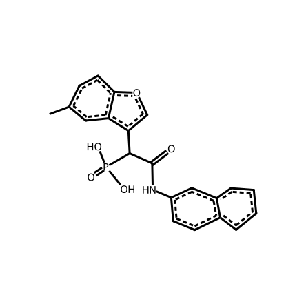 Cc1ccc2occ(C(C(=O)Nc3ccc4ccccc4c3)P(=O)(O)O)c2c1